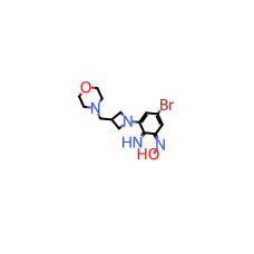 N=C1C(N2CC(CN3CCOCC3)C2)=CC(Br)=C/C1=N/O